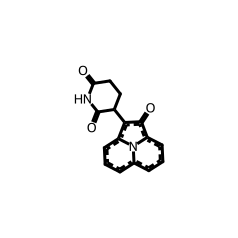 O=C1CCC(c2c3cccc4cccc(c2=O)N43)C(=O)N1